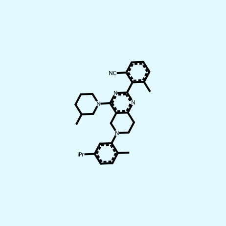 Cc1ccc(C(C)C)cc1N1CCc2nc(-c3c(C)cccc3C#N)nc(N3CCCC(C)C3)c2C1